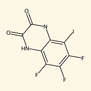 O=C1[N]c2c(I)c(F)c(F)c(F)c2NC1=O